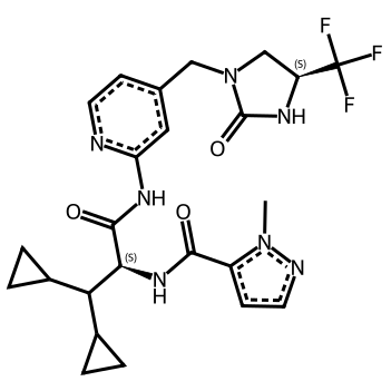 Cn1nccc1C(=O)N[C@H](C(=O)Nc1cc(CN2C[C@@H](C(F)(F)F)NC2=O)ccn1)C(C1CC1)C1CC1